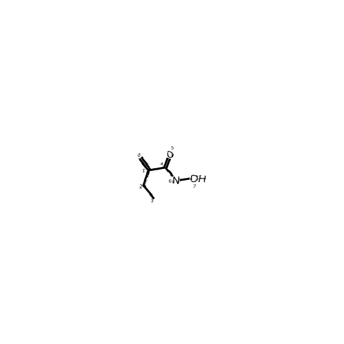 C=C(CC)C(=O)[N]O